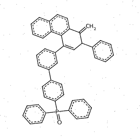 C=C1c2ccc3ccccc3c2C(c2cccc(-c3ccc(P(=O)(c4ccccc4)c4ccccc4)cc3)c2)=CC1c1ccccc1